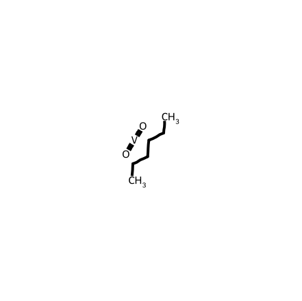 CCCCCC.[O]=[V]=[O]